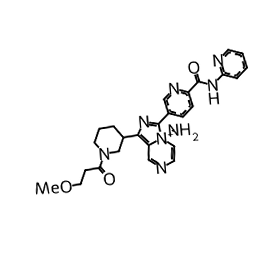 COCCC(=O)N1CCCC(C2=C3C=NC=C[N+]3(N)C(c3ccc(C(=O)Nc4ccccn4)nc3)=N2)C1